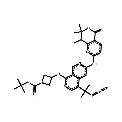 CC1c2nc(Nc3cc4c(C(C)(C)N=[N+]=[N-])cnc(OC5CN(C(=O)OC(C)(C)C)C5)c4cn3)ccc2C(=O)OC1(C)C